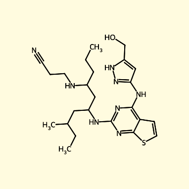 CCCC(CC(CC(C)CC)Nc1nc(Nc2cc(CO)[nH]n2)c2ccsc2n1)NCCC#N